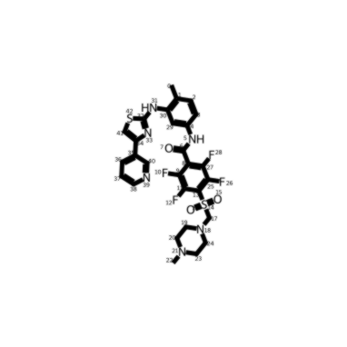 Cc1ccc(NC(=O)c2c(F)c(F)c(S(=O)(=O)CN3CCN(C)CC3)c(F)c2F)cc1Nc1nc(-c2cccnc2)cs1